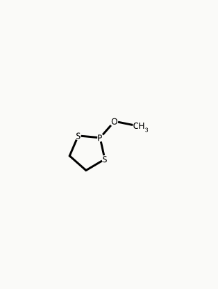 COP1SCCS1